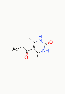 CC(=O)CC(=O)C1=C(C)NC(=O)NC1C